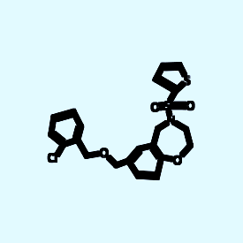 O=S(=O)(c1cccs1)N1CCOc2ccc(COCc3ccccc3Cl)cc2C1